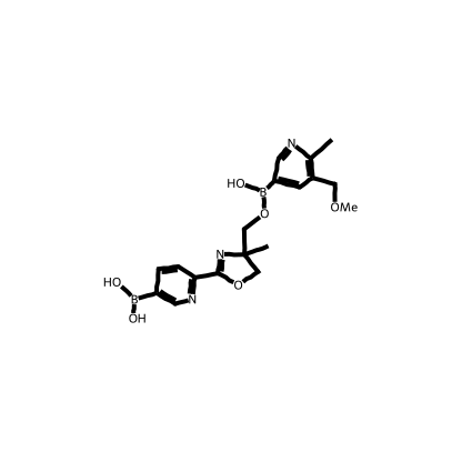 COCc1cc(B(O)OCC2(C)COC(c3ccc(B(O)O)cn3)=N2)cnc1C